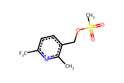 Cc1nc(C(F)(F)F)ccc1COS(C)(=O)=O